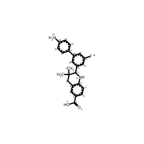 CC1(C)Cc2cc(C(=O)O)ccc2NC1c1cc(F)cc(-c2ccc(N)cc2)c1